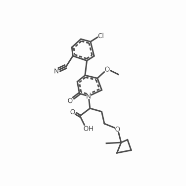 COc1cn(C(CCOC2(C)CCC2)C(=O)O)c(=O)cc1-c1cc(Cl)ccc1C#N